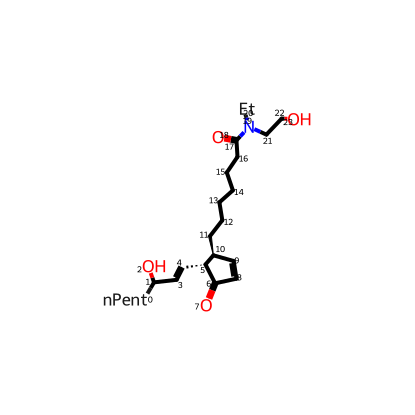 CCCCCC(O)/C=C/[C@H]1C(=O)C=C[C@@H]1CCCCCCC(=O)N(CC)CCO